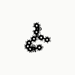 c1ccc(-c2ccc(N(c3ccc(-c4ccc5ccc6ccc7nc(-c8ccccc8)oc7c6c5c4)cc3)c3ccc4c(c3)oc3ccccc34)cc2)cc1